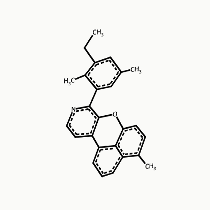 CCc1cc(C)cc(-c2nccc3c2Oc2ccc(C)c4cccc-3c24)c1C